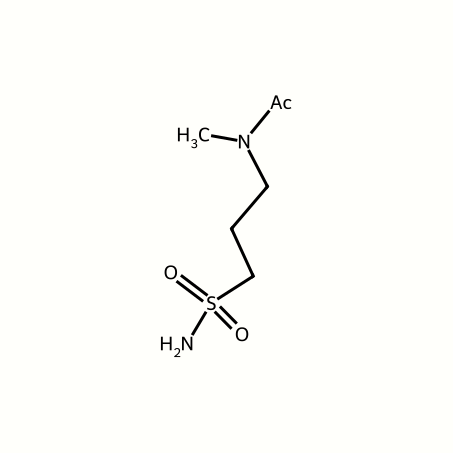 CC(=O)N(C)CCCS(N)(=O)=O